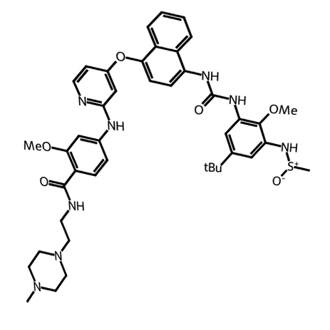 COc1cc(Nc2cc(Oc3ccc(NC(=O)Nc4cc(C(C)(C)C)cc(N[S+](C)[O-])c4OC)c4ccccc34)ccn2)ccc1C(=O)NCCN1CCN(C)CC1